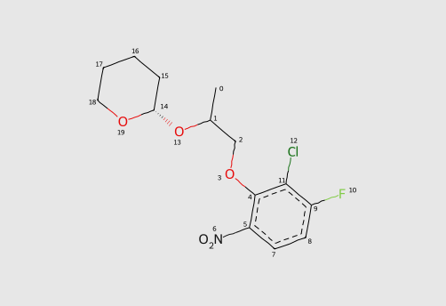 CC(COc1c([N+](=O)[O-])ccc(F)c1Cl)O[C@H]1CCCCO1